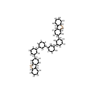 c1cc(-c2cccc(-c3cccc(-c4ccc5c(c4)sc4ccccc45)c3)c2)cc(-c2cccc(-c3ccc4c(c3)sc3ccccc34)c2)c1